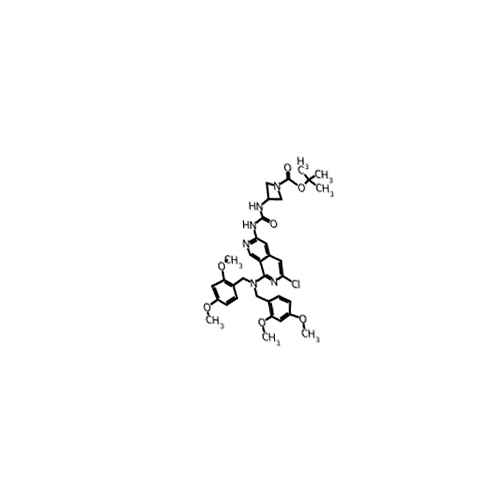 COc1ccc(CN(Cc2ccc(OC)cc2OC)c2nc(Cl)cc3cc(NC(=O)NC4CN(C(=O)OC(C)(C)C)C4)ncc23)c(OC)c1